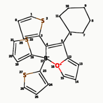 c1csc(C2=C(C3CCCCC3)c3ccc[o+]3[B-]2(c2cccs2)c2cccs2)c1